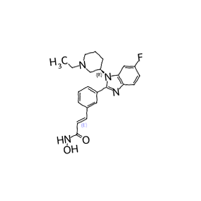 CCN1CCC[C@@H](n2c(-c3cccc(/C=C/C(=O)NO)c3)nc3ccc(F)cc32)C1